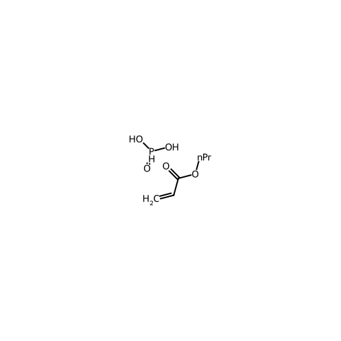 C=CC(=O)OCCC.O=[PH](O)O